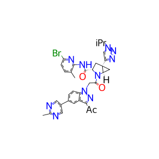 CC(=O)c1nn(CC(=O)N2[C@H](C(=O)Nc3nc(Br)ccc3C)C[C@@]3(c4cn(C(C)C)nn4)C[C@@H]23)c2ccc(-c3cnc(C)nc3)cc12